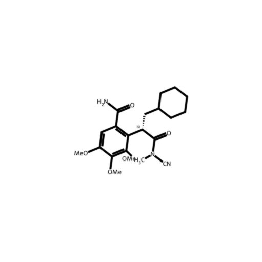 COc1cc(C(N)=O)c([C@H](CC2CCCCC2)C(=O)N(C)C#N)c(OC)c1OC